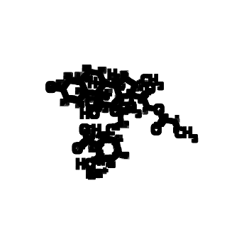 CCC(=O)OCC(=O)[C@@]1(OC(=O)CC)[C@@H](C)C[C@H]2[C@@H]3CCC4=CC(=O)C=C[C@]4(C)C3(F)[C@@H](O)C[C@@]21C.O=C([O-])c1ccccc1O.[Na+]